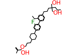 C=C(C)C(O)OCCCC1CCC(c2ccc(-c3ccc(CCCC(CO)(CO)CCC)cc3CC)c(F)c2)CC1